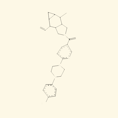 C=CC1C2CC2C(C)C2CN(C(=O)c3ccc(N4CCN(c5ccc(C(F)(F)F)cc5)CC4)nc3)CC12